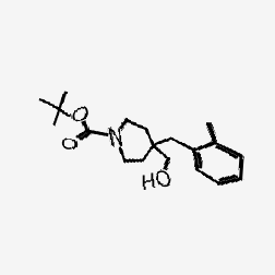 Cc1ccccc1CC1(CO)CCN(C(=O)OC(C)(C)C)CC1